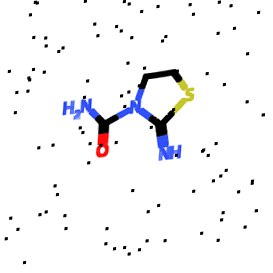 N=C1SCCN1C(N)=O